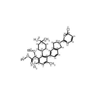 Cc1nc(C)c([C@H](OC(C)(C)C)C(=O)OC(C)C)c(N2CCC(C)(C)CC2)c1-c1ccc2c(c1)CCN(c1nccc(Cl)n1)C2